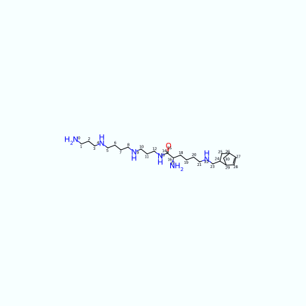 NCCCNCCCCNCCCNC(=O)[C@H](N)CCCCNCC1CC2C=CC1C2